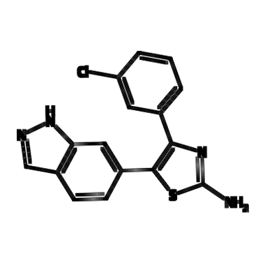 Nc1nc(-c2cccc(Cl)c2)c(-c2ccc3cn[nH]c3c2)s1